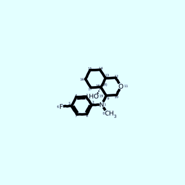 CN(c1ccc(F)cc1)C1COCC2CCCC[C@@]21O